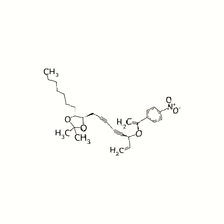 C=C[C@@H](C#CC#CC[C@H]1OC(C)(C)O[C@@H]1CCCCCCC)OC(=C)c1ccc([N+](=O)[O-])cc1